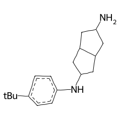 CC(C)(C)c1ccc(NC2CC3CC(N)CC3C2)cc1